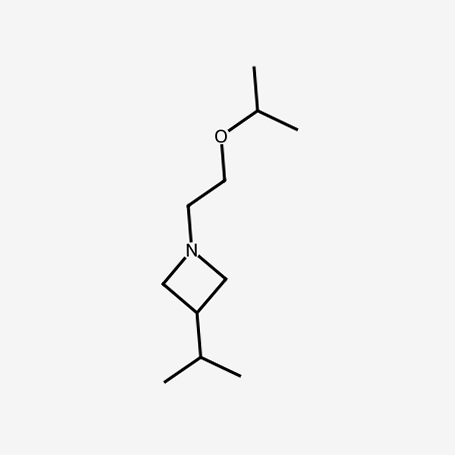 CC(C)OCCN1CC(C(C)C)C1